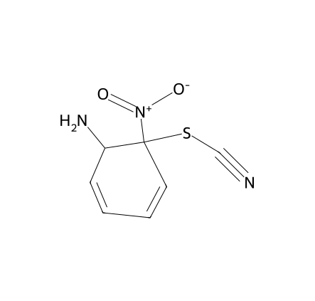 N#CSC1([N+](=O)[O-])C=CC=CC1N